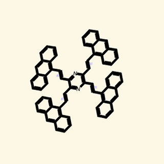 C(=C\c1c2ccccc2cc2ccccc12)/c1nc(/C=C/c2c3ccccc3cc3ccccc23)c(/C=C/c2c3ccccc3cc3ccccc23)nc1/C=C/c1c2ccccc2cc2ccccc12